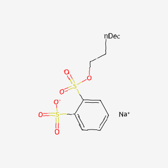 CCCCCCCCCCCCOS(=O)(=O)c1ccccc1S(=O)(=O)[O-].[Na+]